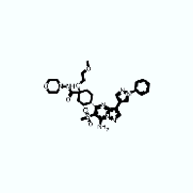 COCCO[C@]1(C(=O)NN2CCOCC2)CC[C@@H](c2nc3c(-c4cnn(-c5ccccc5)c4)cnn3c(N)c2S(C)(=O)=O)CC1